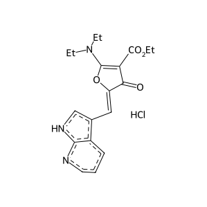 CCOC(=O)C1=C(N(CC)CC)OC(=Cc2c[nH]c3ncccc23)C1=O.Cl